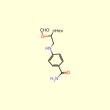 CCCCCCC(CNc1ccc(C(N)=O)cc1)OC=O